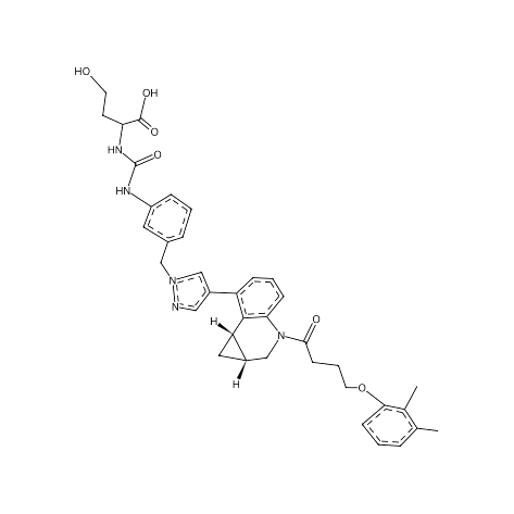 Cc1cccc(OCCCC(=O)N2C[C@@H]3C[C@@H]3c3c(-c4cnn(Cc5cccc(NC(=O)NC(CCO)C(=O)O)c5)c4)cccc32)c1C